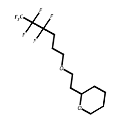 FC(F)(F)C(F)(F)C(F)(F)CCCOCCC1CCCCO1